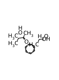 CCC(C)=O.CCO.CO.O.c1ccccc1